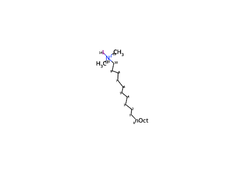 CCCCCCCCCCCCCCCCCC[N+](C)(C)I